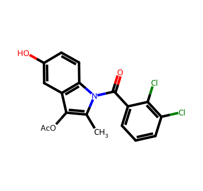 CC(=O)Oc1c(C)n(C(=O)c2cccc(Cl)c2Cl)c2ccc(O)cc12